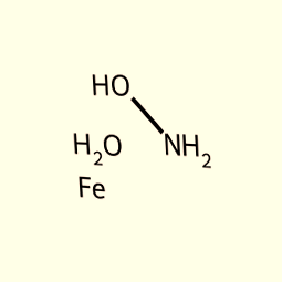 NO.O.[Fe]